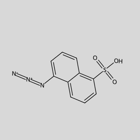 [N-]=[N+]=Nc1cccc2c(S(=O)(=O)O)cccc12